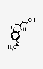 COc1ccc2c(c1)NC(CCO)CO2